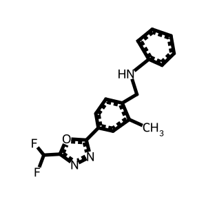 Cc1cc(-c2nnc(C(F)F)o2)ccc1CNc1ccccc1